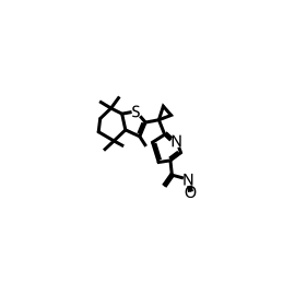 C=C(N=O)c1ccc(C2(C3=C(C)C4C(S3)C(C)(C)CCC4(C)C)CC2)nc1